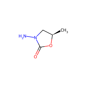 C[C@@H]1CN(N)C(=O)O1